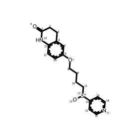 O=C1CCc2cc(OCCCC[S+]([O-])c3ccncc3)ccc2N1